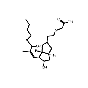 CCCCCC(O)C(C)=C[C@H]1[C@@H]2CC(CCSCC(=O)O)C[C@H]2C[C@@H]1O